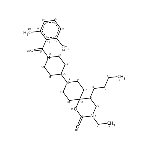 CCCCC1CN(CC)C(=O)OC12CCN(C1CCN(C(=O)c3c(C)cccc3C)CC1)CC2